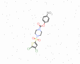 O=C(Oc1ccc([N+](=O)[O-])cc1)N1CCN(S(=O)(=O)c2cc(Cl)c(Cl)s2)CC1